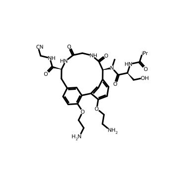 CC(C)C(=O)N[C@@H](CO)C(=O)N(C)[C@@H]1C(=O)NCC(=O)N[C@H](C(=O)NCC#N)Cc2ccc(OCCN)c(c2)-c2cc1ccc2OCCN